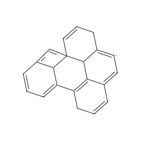 [C]1=C2CC=CC34C=CC=C5C=CC=C(C6=C(C(=C1)C=CC6)C23)C54